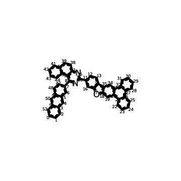 c1ccc2cc3cc(-c4nc(-c5ccc6c(c5)oc5cc7c8ccccc8c8ccccc8c7cc56)nc5ccc6ccccc6c45)ccc3cc2c1